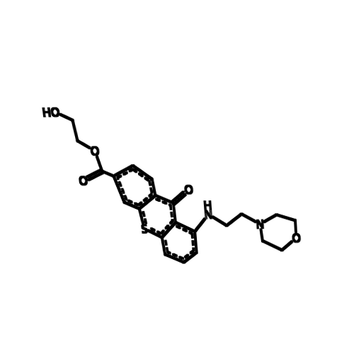 O=C(OCCO)c1ccc2c(=O)c3c(NCCN4CCOCC4)cccc3sc2c1